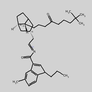 CCCC1C=C(C(=O)/N=C/C[C@H]2CC3CC[C@H](C2)[C@H]3CCCC(=O)CCCC(C)(C)C)c2cc(C)ccc21